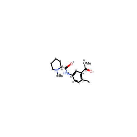 CCCCN1CCCC[C@@H]1C(=O)Nc1ccc(C)c(C(=O)OC)c1